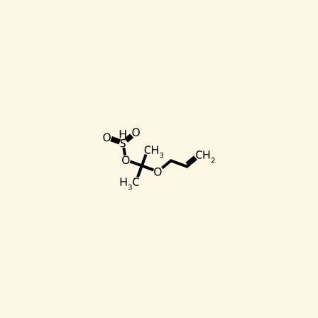 C=CCOC(C)(C)O[SH](=O)=O